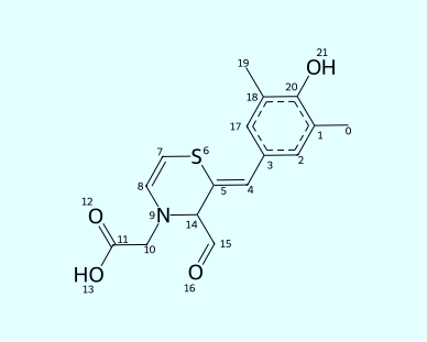 Cc1cc(C=C2SC=CN(CC(=O)O)C2C=O)cc(C)c1O